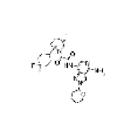 C[C@H]1CC[C@H](C2CCC(F)(F)CC2)N(C(=O)C(=O)Nc2cnc(N)c3cn(C4CCCCO4)nc23)C1